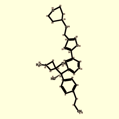 CCCc1ccc([C@](O)(c2cncc(-c3nc(COC4CCOCC4)no3)c2)C2(C)CN(C)C2)cc1